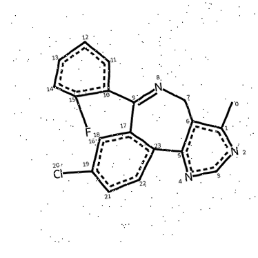 Cc1ncnc2c1CN=C(c1ccccc1F)c1cc(Cl)ccc1-2